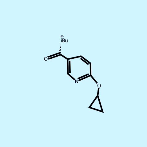 CC[C@@H](C)C(=O)c1ccc(OC2CC2)nc1